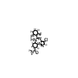 CN(C)C(=O)c1ccc2c(c1)-n1ncc(Cl)c1N=C(c1c(F)cccc1F)N2